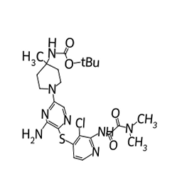 CN(C)C(=O)C(=O)Nc1nccc(Sc2ncc(N3CCC(C)(NC(=O)OC(C)(C)C)CC3)nc2N)c1Cl